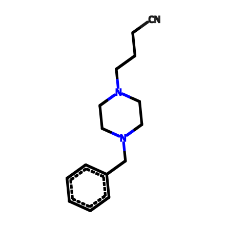 N#CCCCN1CCN(Cc2ccccc2)CC1